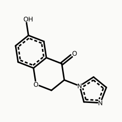 O=C1c2cc(O)ccc2OCC1n1ccnc1